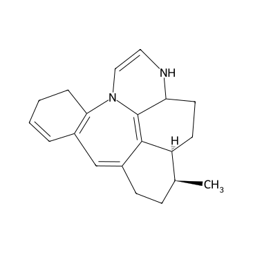 C[C@H]1CCC2=CC3=C(CCC=C3)N3C=CNC4CC[C@@H]1C2=C43